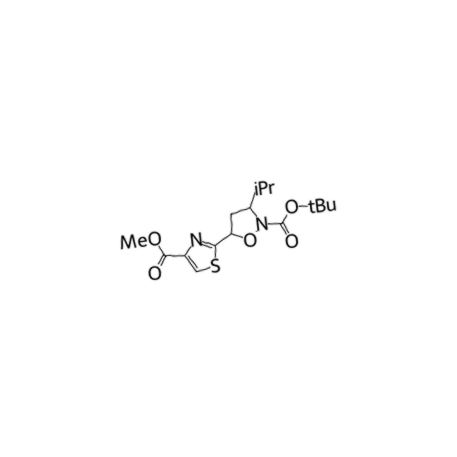 COC(=O)c1csc(C2CC(C(C)C)N(C(=O)OC(C)(C)C)O2)n1